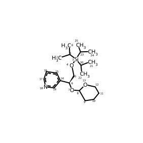 CC(C)[Si](OC[C@@H](OC1CCCCO1)c1cccnc1)(C(C)C)C(C)C